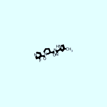 Cc1c[nH]c(-c2noc(C3CCCN(C(=O)c4ccncc4F)C3)n2)c1